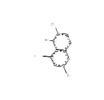 CC(C)c1cc(C(=O)O)c2c(C(=O)O)c(C(C)C)ccc2c1